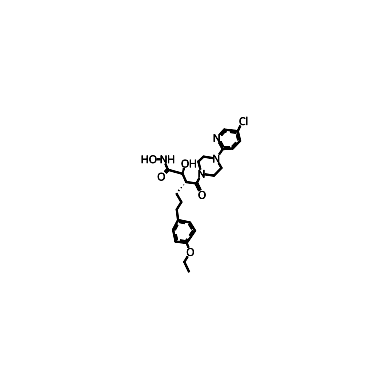 CCOc1ccc(CCC[C@@H](C(=O)N2CCN(c3ccc(Cl)cn3)CC2)[C@H](O)C(=O)NO)cc1